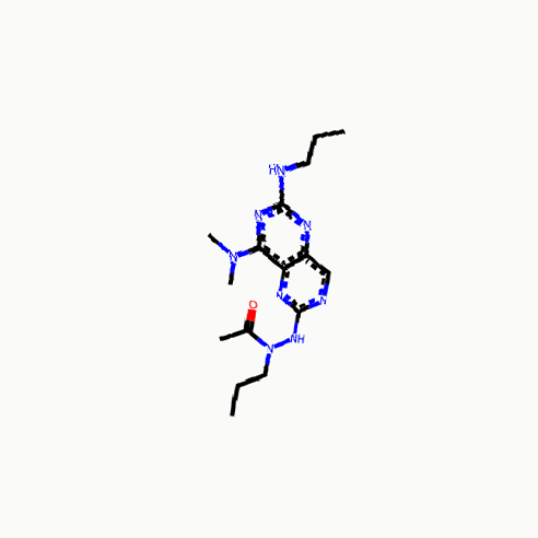 CCCNc1nc(N(C)C)c2nc(NN(CCC)C(C)=O)ncc2n1